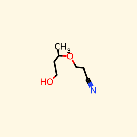 CC(CCO)OCCC#N